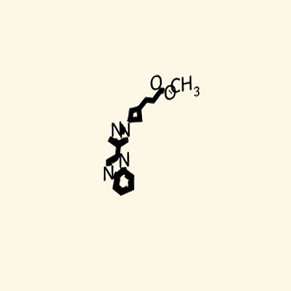 COC(=O)CCC1CC(n2cc(-c3cnc4ccccc4n3)cn2)C1